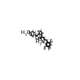 CN1CCN(C(=O)C2SCCN2C(=O)CC(N)Cc2cc(F)c(F)cc2F)CC1